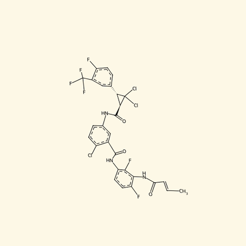 C/C=C/C(=O)Nc1c(F)ccc(NC(=O)c2cc(NC(=O)[C@H]3[C@H](c4ccc(F)c(C(F)(F)F)c4)C3(Cl)Cl)ccc2Cl)c1F